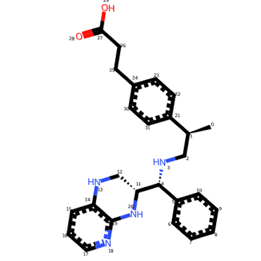 C[C@@H](CN[C@H](c1ccccc1)[C@H]1CNc2cccnc2N1)c1ccc(CCC(=O)O)cc1